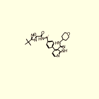 C[C@@H](NC(=O)c1nc(C(C)(C)C)no1)c1ccc(-c2ccnc3[nH]nc(NC4CCOCC4)c23)cc1